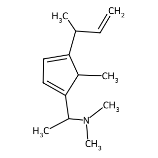 C=CC(C)C1=CC=C(C(C)N(C)C)C1C